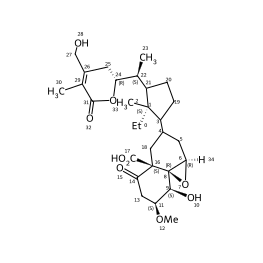 CC[C@@]1(C)C(C2C[C@H]3O[C@]34[C@@H](O)[C@@H](OC)CC(=O)[C@]4(C(=O)O)C2)CCC1[C@H](C)[C@H]1CC(CO)=C(C)C(=O)O1